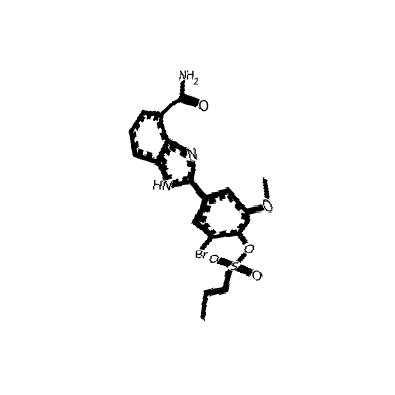 CCCS(=O)(=O)Oc1c(Br)cc(-c2nc3c(C(N)=O)cccc3[nH]2)cc1OC